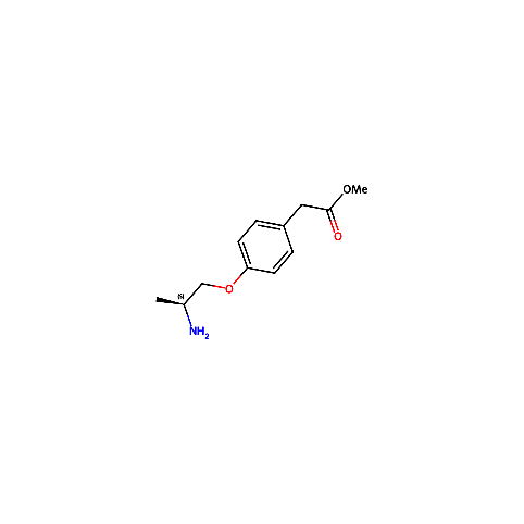 COC(=O)Cc1ccc(OC[C@H](C)N)cc1